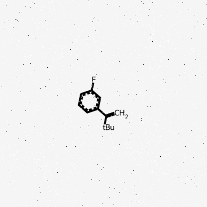 C=C(c1cccc(F)c1)C(C)(C)C